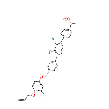 C=CCOc1ccc(OCc2ccc(-c3ccc(-c4ccc(C(C)O)cc4)c(F)c3F)cc2)cc1F